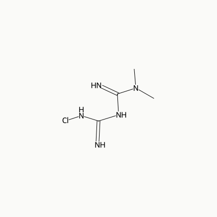 CN(C)C(=N)NC(=N)NCl